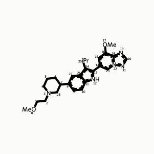 COCCN1CCCC(c2ccc3[nH]c(-c4cc(OC)c5ncnn5c4)c(C(C)C)c3c2)C1